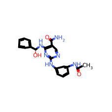 CC(=O)Nc1cccc(Nc2ncc(C(N)=O)c(N[C@H](O)c3ccccc3)n2)c1